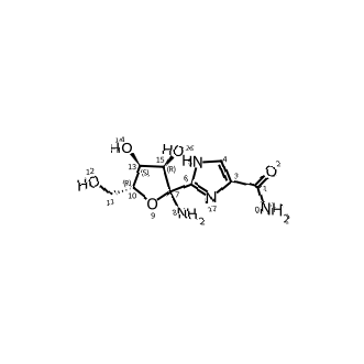 NC(=O)c1c[nH]c(C2(N)O[C@H](CO)[C@@H](O)[C@H]2O)n1